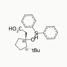 CC(C)(C)[C@@H]1CCC[C@]1(CC(=O)O)O[SiH](c1ccccc1)c1ccccc1